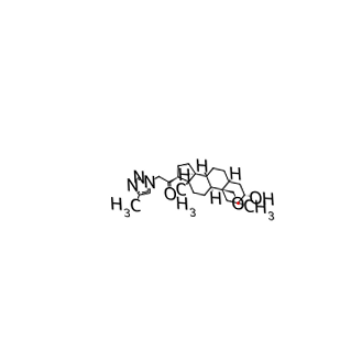 COC[C@]12CC[C@@H](O)C[C@@H]1CC[C@H]1[C@@H]3CC[C@H](C(=O)Cn4cc(C)nn4)[C@@]3(C)CC[C@@H]12